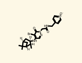 C[C@H]1[C@H]2C[C@H](C[C@H]1Nc1cnn(CC(=O)NCc3cc[n+]([O-])cc3)c(=O)c1Br)C2(C)C